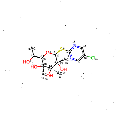 CC(=O)C(O)[C@H]1O[C@@H](Sc2ncc(Cl)cn2)[C@@](O)(C(C)=O)[C@](O)(C(C)=O)[C@@]1(O)C(C)=O